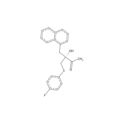 CC(=O)[C@@](O)(CSc1ccc(F)cc1)Cc1cccc2ccccc12